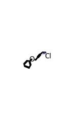 Cl/C=C\C#CCOc1ccccc1